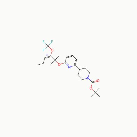 CC/C=C(/OC(F)(F)F)C(C)(C)Oc1cccc(C2CCN(C(=O)OC(C)(C)C)CC2)n1